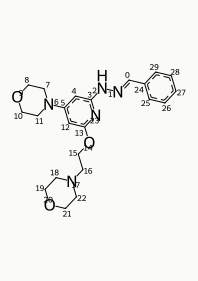 C(=NNc1cc(N2CCOCC2)cc(OCCN2CCOCC2)n1)c1ccccc1